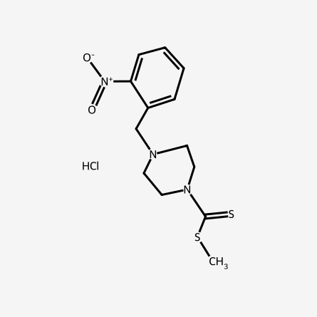 CSC(=S)N1CCN(Cc2ccccc2[N+](=O)[O-])CC1.Cl